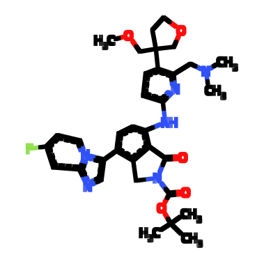 COCC1(c2ccc(Nc3ccc(-c4cnc5cc(F)ccn45)c4c3C(=O)N(C(=O)OC(C)(C)C)C4)nc2CN(C)C)CCOC1